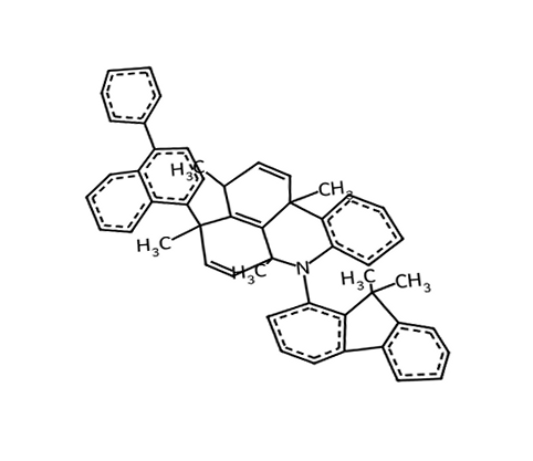 CC1C=CC2(C)C3=C1C(C)(c1ccc(-c4ccccc4)c4ccccc14)C=CC3(C)N(c1cccc3c1C(C)(C)c1ccccc1-3)c1ccccc12